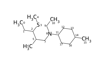 CCC(SC)C(C)CN(CC)C1CCC(C)CC1